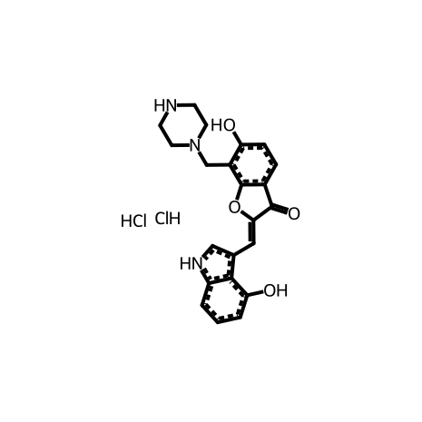 Cl.Cl.O=C1/C(=C/c2c[nH]c3cccc(O)c23)Oc2c1ccc(O)c2CN1CCNCC1